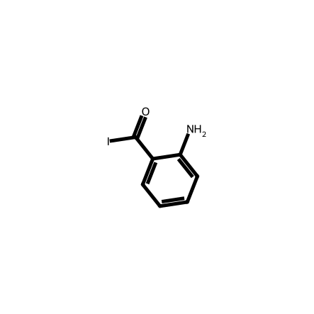 Nc1ccccc1C(=O)I